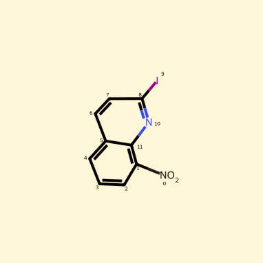 O=[N+]([O-])c1cccc2ccc(I)nc12